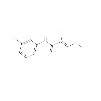 CO/C=C(\F)C(=O)Nc1cccc(F)c1